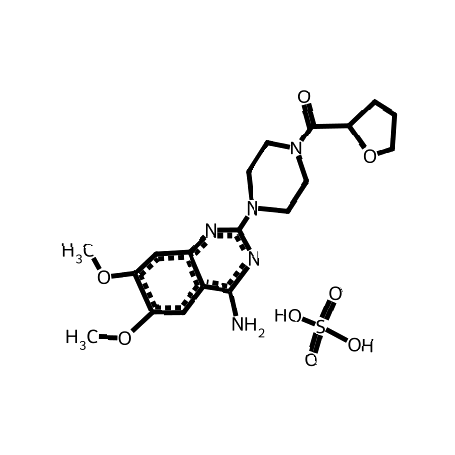 COc1cc2nc(N3CCN(C(=O)C4CCCO4)CC3)nc(N)c2cc1OC.O=S(=O)(O)O